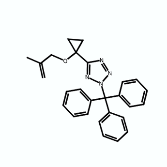 C=C(C)COC1(c2nnn(C(c3ccccc3)(c3ccccc3)c3ccccc3)n2)CC1